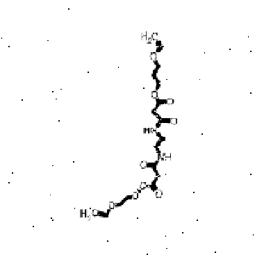 C=COCCCOC(=O)CC(=O)NCCNC(=O)CC(=O)OOCCOC=C